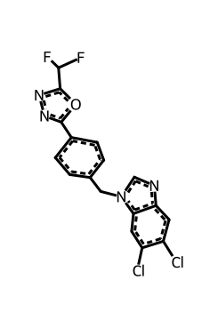 FC(F)c1nnc(-c2ccc(Cn3cnc4cc(Cl)c(Cl)cc43)cc2)o1